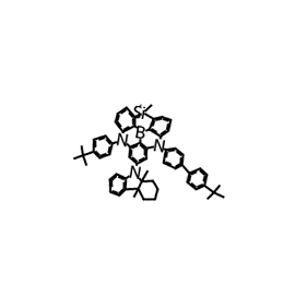 CC(C)(C)c1ccc(-c2ccc(N3c4cc(N5c6ccccc6C6(C)CCCCC56C)cc5c4B4c6c3cccc6[Si](C)(C)c3cccc(c34)N5c3ccc(C(C)(C)C)cc3)cc2)cc1